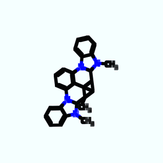 CN1c2ccccc2N2c3cccc4c3C35C(C12)C3C5(C)C1N(C)c2ccccc2N41